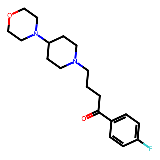 O=C(CCCN1CCC(N2CCOCC2)CC1)c1ccc(F)cc1